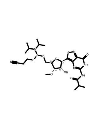 CO[C@H]1[C@@H](O)[C@H](c2snc3c(=O)[nH]c(NC(=O)C(C)C)nc23)O[C@@H]1COP(OCCC#N)N(C(C)C)C(C)C